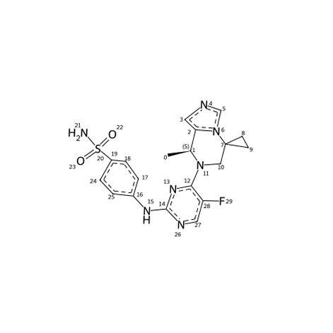 C[C@H]1c2cncn2C2(CC2)CN1c1nc(Nc2ccc(S(N)(=O)=O)cc2)ncc1F